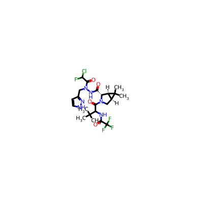 CC(C)(C)C(NC(=O)C(F)(F)F)C(=O)N1C[C@H]2[C@@H]([C@H]1C(=O)NN(Cc1cc[nH]n1)C(=O)C(F)Cl)C2(C)C